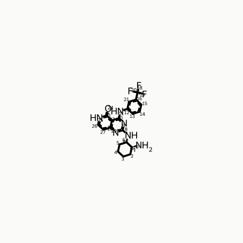 N[C@H]1CCCC[C@H]1Nc1nc(Nc2cccc(C(F)(F)F)c2)c2c(=O)[nH]ccc2n1